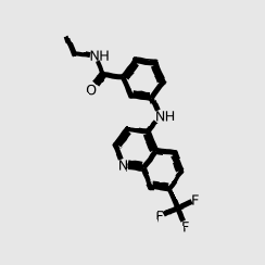 CCNC(=O)c1cccc(Nc2ccnc3cc(C(F)(F)F)ccc23)c1